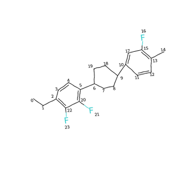 CCc1ccc(C2CCC(c3ccc(C)c(F)c3)CC2)c(F)c1F